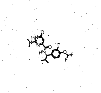 CC(C)[C@@H](NC(=O)c1cc(=O)[nH]c(N(C)C)n1)c1ccc(OC(F)F)c(F)c1